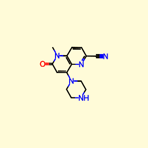 Cn1c(=O)cc(N2CCNCC2)c2nc(C#N)ccc21